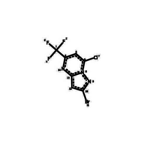 FC(F)(F)c1cc(Cl)n2nc(Br)cc2n1